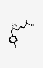 CN(CC=CC(=O)O)Cc1ccc(F)cc1